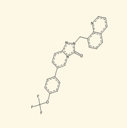 O=c1n(Cc2cccc3cccnc23)nc2ccc(-c3ccc(OC(F)(F)F)cc3)cn12